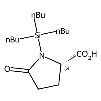 CCCC[Si](CCCC)(CCCC)N1C(=O)CC[C@H]1C(=O)O